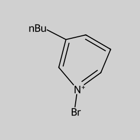 CCCCc1ccc[n+](Br)c1